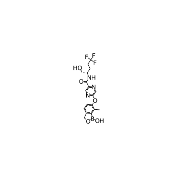 Cc1c(Oc2cnc(C(=O)N[C@H](CO)CCC(F)(F)F)cn2)ccc2c1B(O)OC2